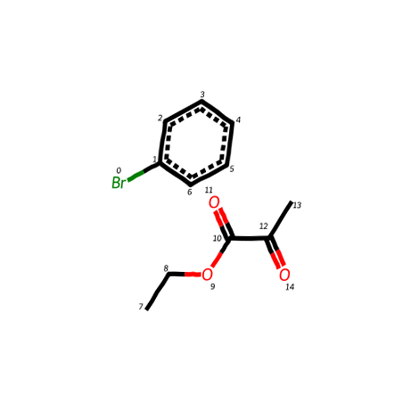 Brc1ccccc1.CCOC(=O)C(C)=O